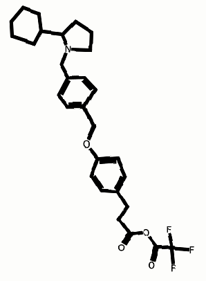 O=C(CCc1ccc(OCc2ccc(CN3CCCC3C3CCCCC3)cc2)cc1)OC(=O)C(F)(F)F